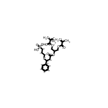 C=C(C)C(=O)OCC(COC(=O)C(=C)C)OC(=O)CC(SCCCP(=O)(O)O)c1ccccc1